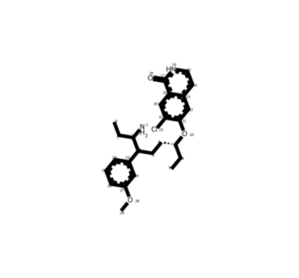 CCC(N)C(CC[C@@H](CC)Oc1cc2cc[nH]c(=O)c2cc1Cl)c1cccc(OC)c1